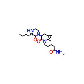 CCCC[C@@H]1NCCN(C(CC2CC2)C(=O)N2CCC(CC(N)=O)CC2)C1=O